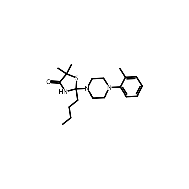 CCCCC1(N2CCN(c3ccccc3C)CC2)NC(=O)C(C)(C)S1